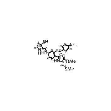 COC(=O)[C@H](CCSC)NC(=O)c1ccc(NCC2NCCC2S)cc1CCc1ccc(C)cc1